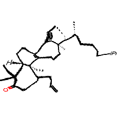 C=CCC1CC(=O)C(C)(C)[C@@H]2CCC3=C(CC[C@@]4(C)C3=CC[C@@H]4[C@H](C)CCCC(C)C)[C@@]12C